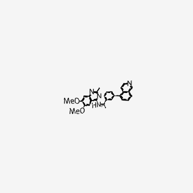 COc1cc2nc(C)nc(N[C@H](C)c3cccc(-c4cccc5cnccc45)c3)c2cc1OC